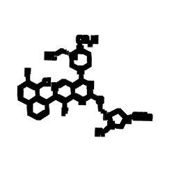 CO[C@@H]1C[C@@H](COc2nc(N3CCN(C(=O)O)[C@@H](CC#N)C3)c3cnc(-c4cccc5ccc(F)c(Cl)c45)c(F)c3n2)N(C(C)C)C1